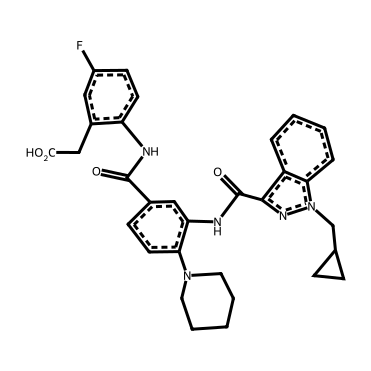 O=C(O)Cc1cc(F)ccc1NC(=O)c1ccc(N2CCCCC2)c(NC(=O)c2nn(CC3CC3)c3ccccc23)c1